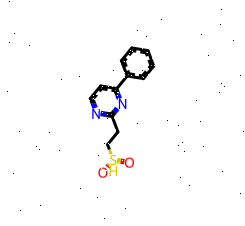 O=[SH](=O)CCc1nccc(-c2ccccc2)n1